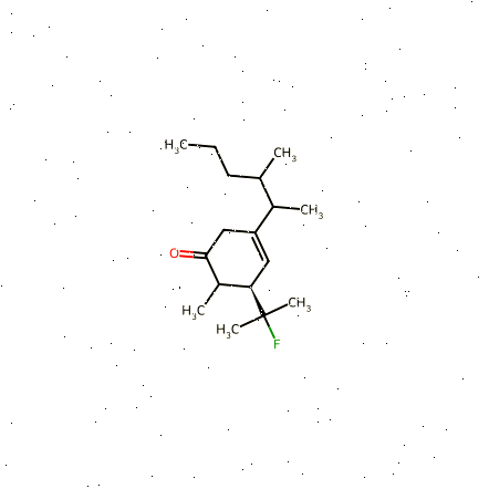 CCCC(C)C(C)C1=C[C@@H](C(C)(C)F)C(C)C(=O)C1